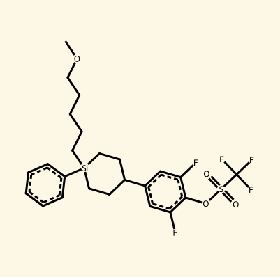 COCCCCC[Si]1(c2ccccc2)CCC(c2cc(F)c(OS(=O)(=O)C(F)(F)F)c(F)c2)CC1